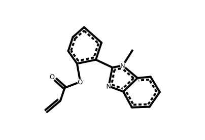 C=CC(=O)Oc1ccccc1-c1nc2ccccc2n1C